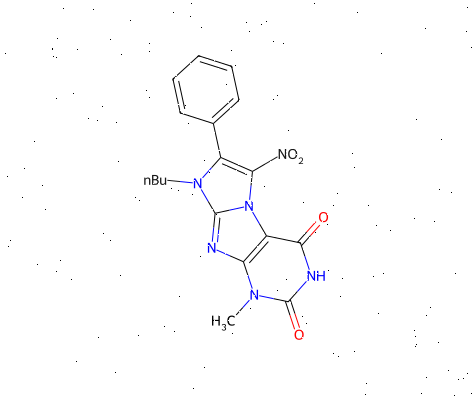 CCCCn1c(-c2ccccc2)c([N+](=O)[O-])n2c3c(=O)[nH]c(=O)n(C)c3nc12